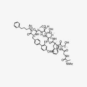 CCc1cc(OC)ccc1-c1ccc(C[C@H](NC(=O)[C@H](CC(=O)O)NC(=O)[C@H](CO)NC(=O)[C@@H](NC(=O)[C@](C)(Cc2ccccc2F)NC(=O)[C@@H](NC(=O)CNC(=O)[C@H](C)NC)[C@@H](C)O)[C@@H](C)O)C(=O)NC(CCCc2ccccc2)C(C)=O)cc1